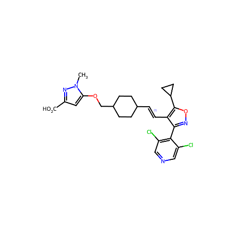 Cn1nc(C(=O)O)cc1OCC1CCC(/C=C/c2c(-c3c(Cl)cncc3Cl)noc2C2CC2)CC1